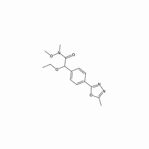 CCOC(C(=O)N(C)OC)c1ccc(-c2nnc(C)o2)cc1